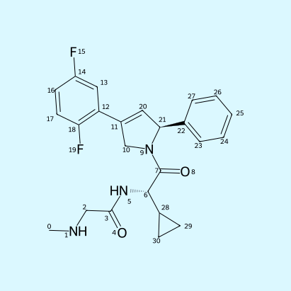 CNCC(=O)N[C@H](C(=O)N1CC(c2cc(F)ccc2F)=C[C@H]1c1ccccc1)C1CC1